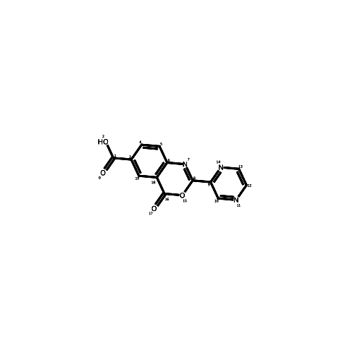 O=C(O)c1ccc2nc(-c3cnccn3)oc(=O)c2c1